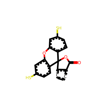 O=C1OC2(c3ccc(S)cc3Oc3cc(S)ccc32)c2ccccc21